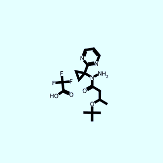 CC(CC(=O)N(N)C1(c2ncccn2)CC1)OC(C)(C)C.O=C(O)C(F)(F)F